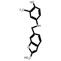 O=C(O)c1cc2ccc(CNc3ccc(O)c(C(F)(F)F)c3)cc2o1